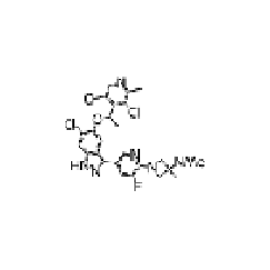 CNC1(C)CN(c2ncc(-c3n[nH]c4cc(Cl)c(OC(C)c5c(Cl)cnc(C)c5Cl)cc34)cc2F)C1